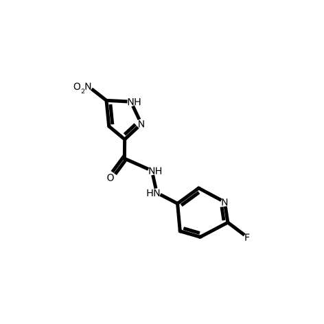 O=C(NNc1ccc(F)nc1)c1cc([N+](=O)[O-])[nH]n1